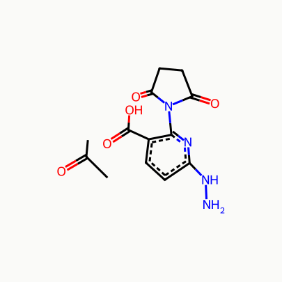 CC(C)=O.NNc1ccc(C(=O)O)c(N2C(=O)CCC2=O)n1